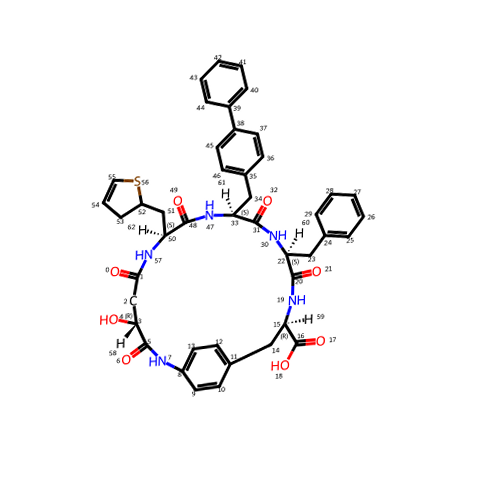 O=C1C[C@@H](O)C(=O)Nc2ccc(cc2)C[C@H](C(=O)O)NC(=O)[C@H](Cc2ccccc2)NC(=O)[C@H](Cc2ccc(-c3ccccc3)cc2)NC(=O)[C@H](CC2CC=CS2)N1